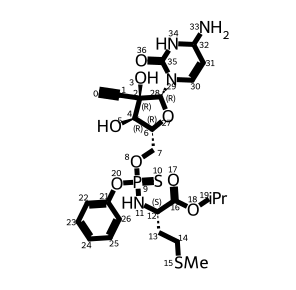 C#C[C@@]1(O)[C@H](O)[C@@H](COP(=S)(N[C@@H](CCSC)C(=O)OC(C)C)Oc2ccccc2)O[C@H]1N1C=CC(N)NC1=O